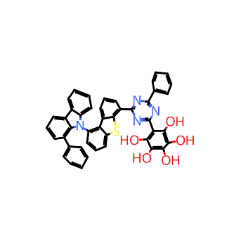 Oc1c(O)c(O)c(-c2nc(-c3ccccc3)nc(-c3cccc4c3sc3cccc(-n5c6ccccc6c6cccc(-c7ccccc7)c65)c34)n2)c(O)c1O